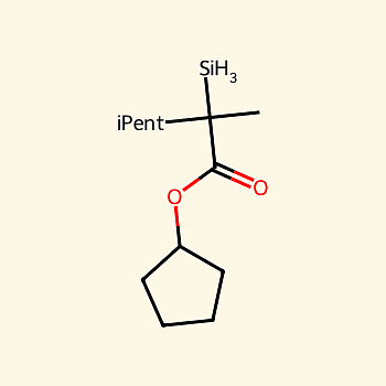 CCCC(C)C(C)([SiH3])C(=O)OC1CCCC1